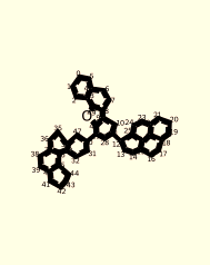 c1ccc2c(c1)ccc1c3cc(-c4ccc5ccc6cccc7ccc4c5c67)cc(-c4ccc5c(ccc6ccc7ccccc7c65)c4)c3oc21